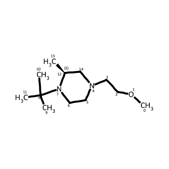 COCCN1CCN(C(C)(C)C)[C@@H](C)C1